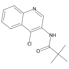 CC(C)(C)C(=O)Nc1cnc2ccccc2c1Cl